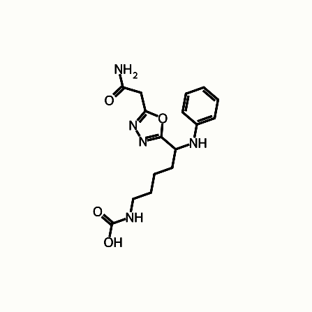 NC(=O)Cc1nnc(C(CCCCNC(=O)O)Nc2ccccc2)o1